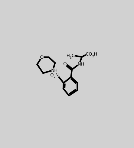 C1COCCN1.CC(NC(=O)c1ccccc1[N+](=O)[O-])C(=O)O